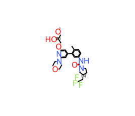 COC[C@@H](O)COc1cc(-c2cc(NC(=O)N3CC[C@@H](CC(F)(F)F)C3)ccc2C)cc(N2CCOCC2)n1